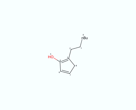 CCCCCCC1=C(O)C=CC1